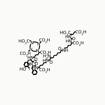 N[C@@H](CCCCCC(=O)NCCCC[C@H](NC(=O)N[C@@H](CCC(=O)O)C(=O)O)C(=O)O)C(=O)NCCCC[C@@H](NC(=O)C(Cc1ccccc1)NC(=O)[C@@H](Cc1ccc(O)c(I)c1)NC(=O)CCC(C(=O)O)N1CCN(CC(=O)O)CCN(CC(=O)O)CCN(CC(=O)O)CC1)C(=O)O